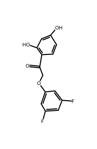 O=C(COc1cc(F)cc(F)c1)c1ccc(O)cc1O